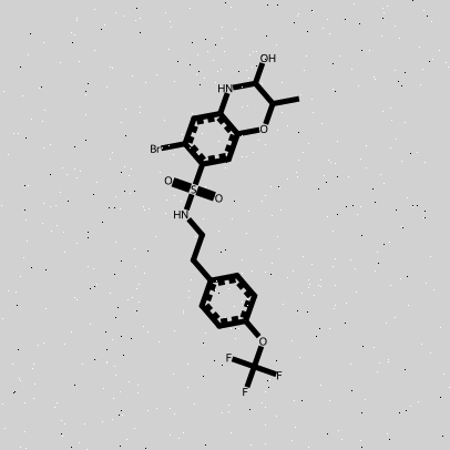 CC1Oc2cc(S(=O)(=O)NCCc3ccc(OC(F)(F)F)cc3)c(Br)cc2NC1O